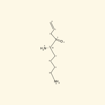 C=C[CH]C(=O)[C@@H](N)CCCCN